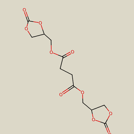 O=C(CCC(=O)OCC1COC(=O)O1)OCC1COC(=O)O1